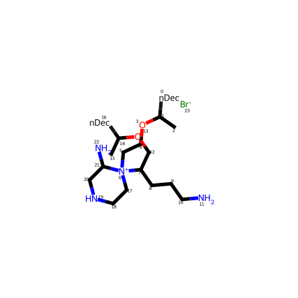 CCCCCCCCCCC(C)OCC[N+]1(C(CCCN)COC(C)CCCCCCCCCC)CCNCC1N.[Br-]